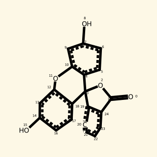 O=C1OC2(c3ccc(O)cc3Oc3cc(O)ccc32)c2c[c]ccc21